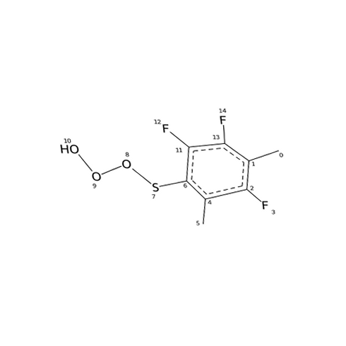 Cc1c(F)c(C)c(SOOO)c(F)c1F